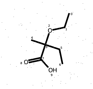 CCOC(C)(CC)C(=O)O